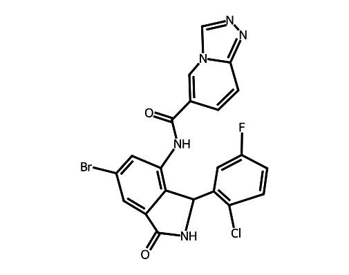 O=C(Nc1cc(Br)cc2c1C(c1cc(F)ccc1Cl)NC2=O)c1ccc2nncn2c1